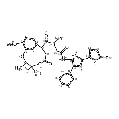 COc1ccc2cc1OC(C)C(C)(C)OC(=O)CC2C(=O)N(CC(=O)Nc1[nH]c(-c2ccc(F)s2)nc1-c1ccccc1)C(C)C